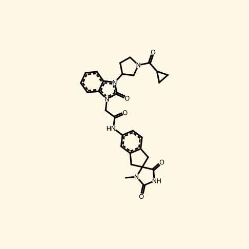 CN1C(=O)NC(=O)C12Cc1ccc(NC(=O)Cn3c(=O)n(C4CCN(C(=O)C5CC5)C4)c4ccccc43)cc1C2